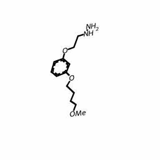 COCCCCOc1cccc(OCCNN)c1